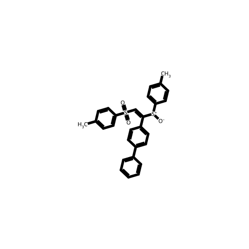 Cc1ccc([S+]([O-])C(=CS(=O)(=O)c2ccc(C)cc2)c2ccc(-c3ccccc3)cc2)cc1